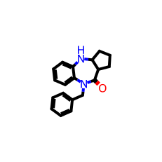 O=C1C2CCCC2Nc2ccccc2N1Cc1ccccc1